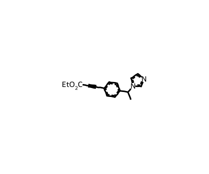 CCOC(=O)C#Cc1ccc(C(C)n2ccnc2)cc1